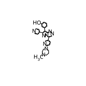 CN1CCCN(c2ccc(-c3cnnc4c(-c5cccc(O)c5)c(-c5ccncc5)nn34)cn2)CC1